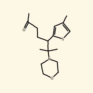 CC(=O)CCC(c1cc(C)cs1)C(C)(C)N1CCOCC1